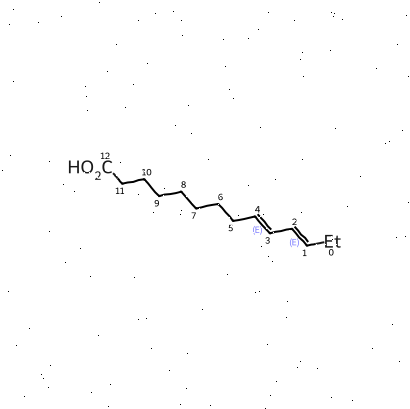 CC/C=C/C=C/CCCCCCCC(=O)O